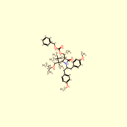 COc1ccc(CC(Cc2ccc(OC)cc2)N2C(=O)[C@H]([C@@H](C)OC(=O)OCc3ccccc3)[C@@H]2[C@](C)(CO[SiH](C)C)C(C)(C)C)cc1